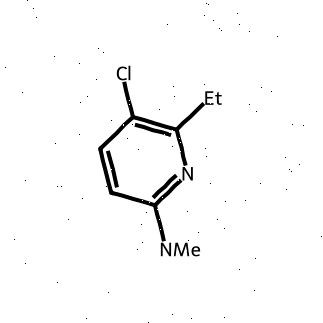 CCc1nc(NC)ccc1Cl